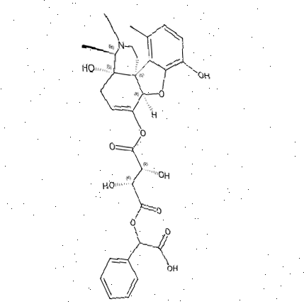 Cc1ccc(O)c2c1[C@]13CCN(C)[C@H](C)[C@]1(O)CC=C(OC(=O)[C@H](O)[C@@H](O)C(=O)OC(C(=O)O)c1ccccc1)[C@@H]3O2